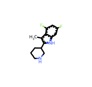 Cc1c(C2CCCNC2)[nH]c2cc(F)cc(F)c12